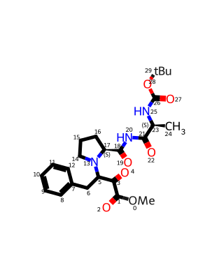 COC(=O)C(=O)C(Cc1ccccc1)N1CCC[C@H]1C(=O)NC(=O)[C@H](C)NC(=O)OC(C)(C)C